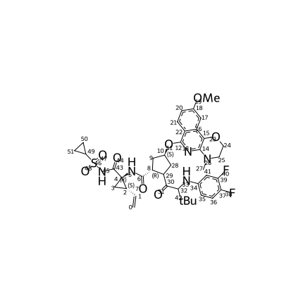 C=C[C@@H]1C[C@]1(NC(=O)[C@@H]1C[C@@H](Oc2nc3c(c4cc(OC)ccc24)OCCN3C)CC1C(=O)C(Nc1ccc(F)c(F)c1)C(C)(C)C)C(=O)NS(=O)(=O)C1CC1